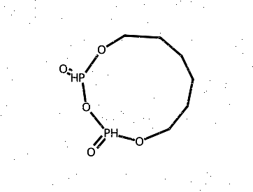 O=[PH]1OCCCCCCO[PH](=O)O1